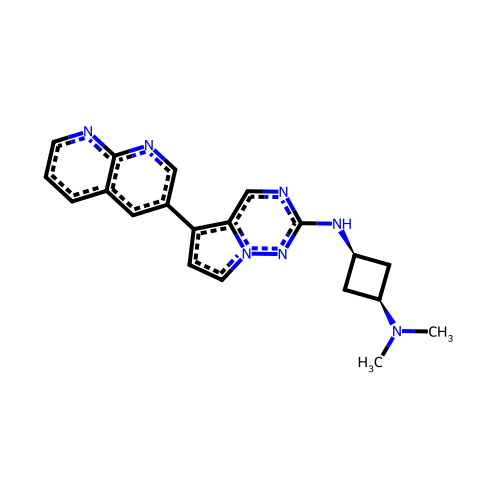 CN(C)[C@H]1C[C@@H](Nc2ncc3c(-c4cnc5ncccc5c4)ccn3n2)C1